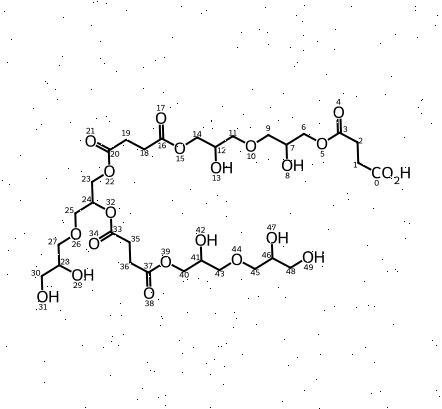 O=C(O)CCC(=O)OCC(O)COCC(O)COC(=O)CCC(=O)OCC(COCC(O)CO)OC(=O)CCC(=O)OCC(O)COCC(O)CO